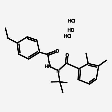 CCc1ccc(C(=O)NN(C(=O)c2cccc(C)c2C)C(C)(C)C)cc1.Cl.Cl.Cl